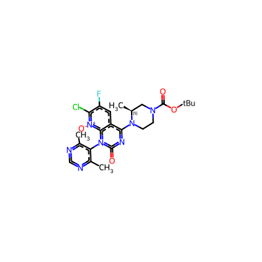 Cc1ncnc(C)c1-n1c(=O)nc(N2CCN(C(=O)OC(C)(C)C)C[C@@H]2C)c2cc(F)c(Cl)[n+]([O-])c21